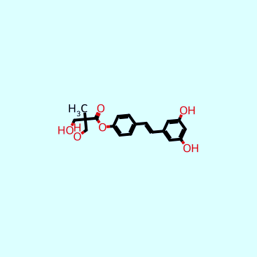 CC(CO)(CO)C(=O)Oc1ccc(/C=C/c2cc(O)cc(O)c2)cc1